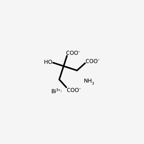 N.O=C([O-])CC(O)(CC(=O)[O-])C(=O)[O-].[Bi+3]